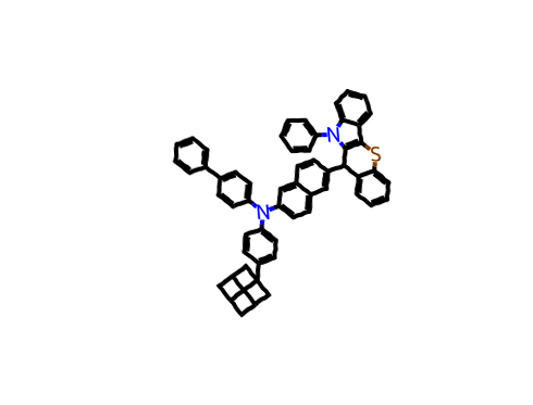 c1ccc(-c2ccc(N(c3ccc(C45CC6CC7CC(C4)C765)cc3)c3ccc4cc(C5c6ccccc6Sc6c5n(-c5ccccc5)c5ccccc65)ccc4c3)cc2)cc1